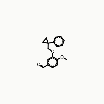 COc1ccc(C=O)cc1OCC1(c2ccccc2)CC1